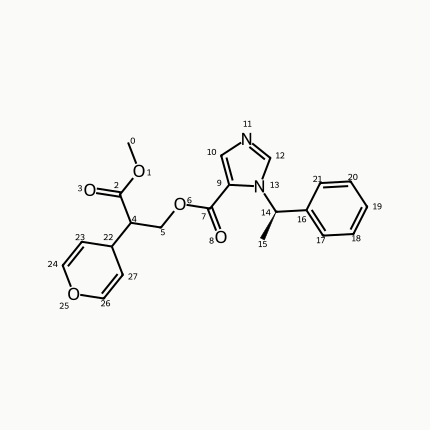 COC(=O)C(COC(=O)c1cncn1[C@H](C)c1ccccc1)C1C=COC=C1